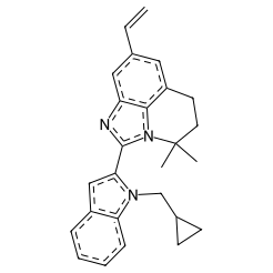 C=Cc1cc2c3c(c1)nc(-c1cc4ccccc4n1CC1CC1)n3C(C)(C)CC2